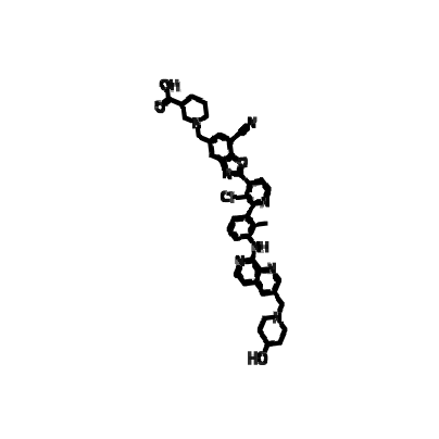 Cc1c(Nc2nccc3cc(CN4CCC(O)CC4)cnc23)cccc1-c1nccc(-c2nc3cc(CN4CCCC(C(=O)O)C4)cc(C#N)c3o2)c1Cl